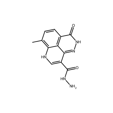 Cc1ccc2c(=O)[nH]nc3c2c1NC=C3C(=O)NN